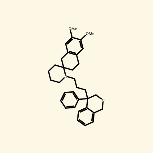 COc1cc2c(cc1OC)CC1(CCCCN1CCCC1(c3ccccc3)COCc3ccccc31)CC2